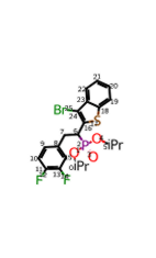 CC(C)OP(=O)(OC(C)C)C(Cc1ccc(F)c(F)c1)c1sc2ccccc2c1Br